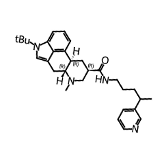 CC(CCCNC(=O)[C@@H]1C[C@@H]2c3cccc4c3c(cn4C(C)(C)C)C[C@H]2N(C)C1)c1cccnc1